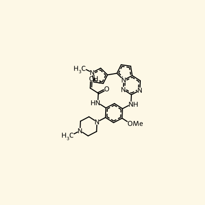 C=CC(=O)Nc1cc(Nc2ncc3ccc(-c4ccn(C)c4)n3n2)c(OC)cc1N1CCN(C)CC1